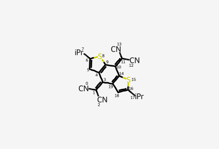 [C-]#[N+]C(C#N)=c1c2cc(C(C)C)sc2c(=C(C#N)[N+]#[C-])c2sc(C(C)C)cc12